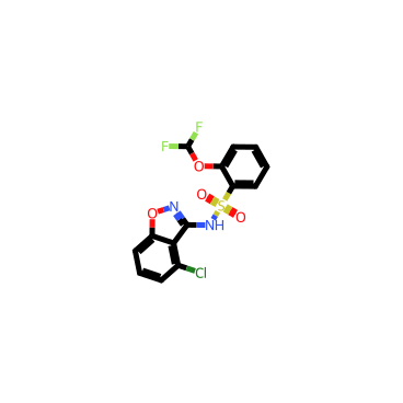 O=S(=O)(Nc1noc2cccc(Cl)c12)c1ccccc1OC(F)F